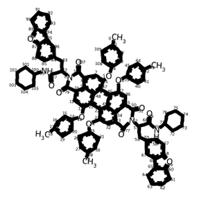 Cc1ccc(Oc2cc3c4c(cc(Oc5ccc(C)cc5)c5c6c(Oc7ccc(C)cc7)cc7c8c(cc(Oc9ccc(C)cc9)c(c2c45)c86)C(=O)N(C(Cc2ccc4oc5ccccc5c4c2)C(=O)NC2CCCCC2)C7=O)C(=O)N(C(Cc2ccc4oc5ccccc5c4c2)C(=O)NC2CCCCC2)C3=O)cc1